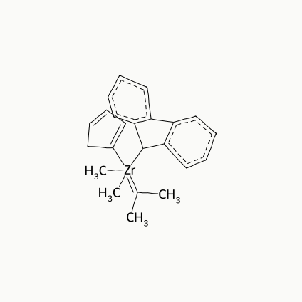 C[C](C)=[Zr]([CH3])([CH3])([C]1=CC=CC1)[CH]1c2ccccc2-c2ccccc21